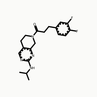 CC(C)Nc1ncc2c(n1)CN(C(=O)CCc1ccc(F)c(F)c1)CC2